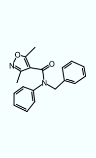 Cc1noc(C)c1C(=O)N(Cc1ccccc1)c1ccccc1